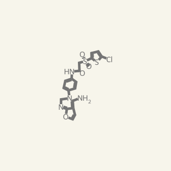 NC1=c2ccoc2=NCN1c1ccc(NC(=O)CS(=O)(=O)c2ccc(Cl)s2)cc1